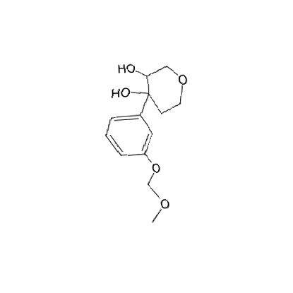 COCOc1cccc(C2(O)CCOCC2O)c1